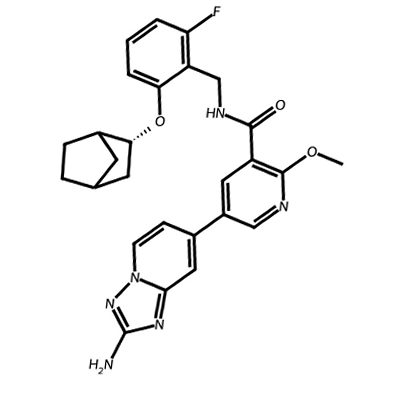 COc1ncc(-c2ccn3nc(N)nc3c2)cc1C(=O)NCc1c(F)cccc1O[C@@H]1CC2CCC1C2